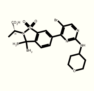 BC1(B)c2ccc(-c3nc(NC4CCOCC4)ncc3Br)cc2S(=O)(=O)N1[C@H](C)C(=O)O